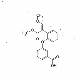 COC=C(C(=O)OC)c1ccccc1Oc1cccc(C(=O)O)c1